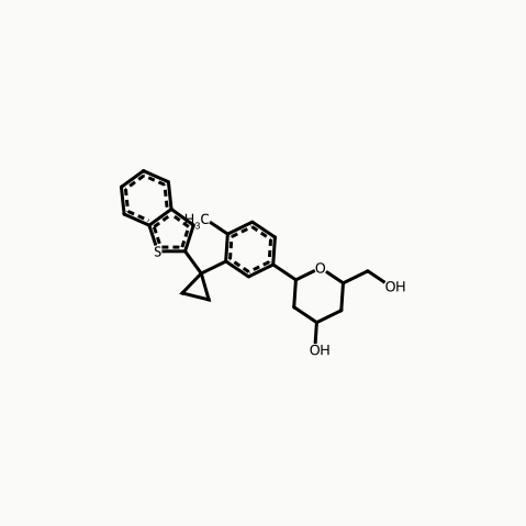 Cc1ccc(C2CC(O)CC(CO)O2)cc1C1(c2cc3ccccc3s2)CC1